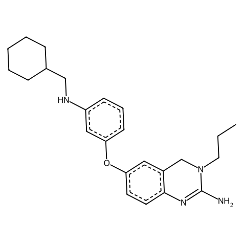 CCCN1Cc2cc(Oc3cccc(NCC4CCCCC4)c3)ccc2N=C1N